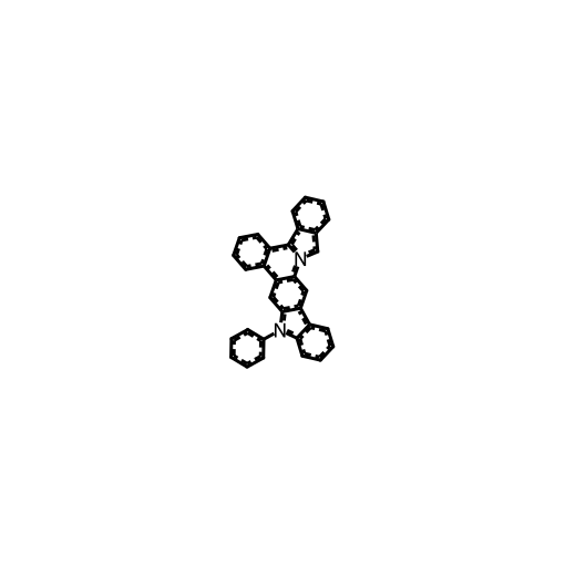 c1ccc(-n2c3ccccc3c3cc4c(cc32)c2ccccc2c2c3ccccc3cn42)cc1